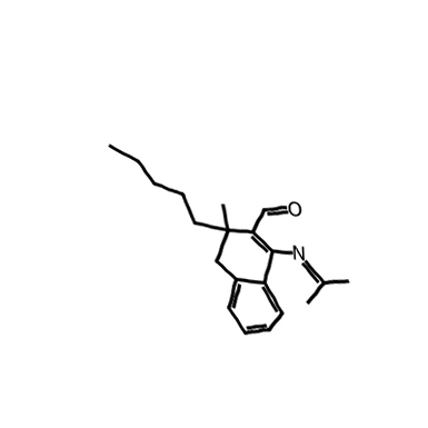 CCCCCC1(C)Cc2ccccc2C(N=C(C)C)=C1C=O